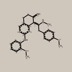 CN/C(Cc1ccc(OC)cc1)=C1\C(=N)CCc2cnc(Nc3ccccc3OC)nc21